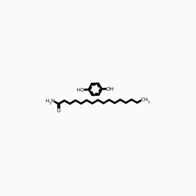 CCCCCCCCCCCCCCCC(N)=O.Oc1ccc(O)cc1